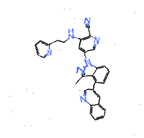 Cc1nn(-c2cnc(C#N)c(NCCc3ccccn3)c2)c2cccc(-c3cnc4ccccc4c3)c12